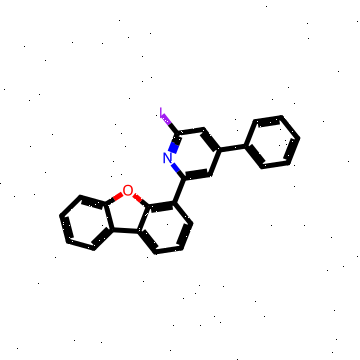 Ic1cc(-c2ccccc2)cc(-c2cccc3c2oc2ccccc23)n1